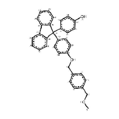 COCc1ccc(COc2ccc(C3(c4ccc(O)cc4)c4ccccc4-c4ccccc43)cc2)cc1